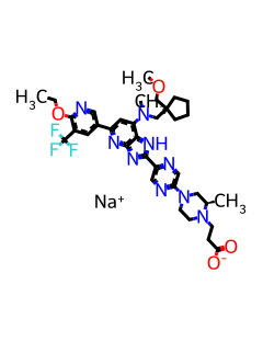 CCOc1ncc(-c2cc(N(C)CC3(COC)CCCC3)c3[nH]c(-c4cnc(N5CCN(CCC(=O)[O-])[C@H](C)C5)cn4)nc3n2)cc1C(F)(F)F.[Na+]